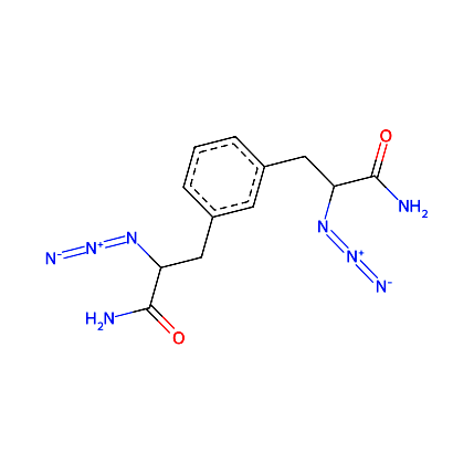 [N-]=[N+]=NC(Cc1cccc(CC(N=[N+]=[N-])C(N)=O)c1)C(N)=O